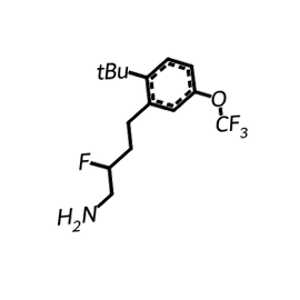 CC(C)(C)c1ccc(OC(F)(F)F)cc1CCC(F)CN